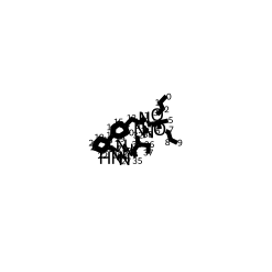 CCCOC(C)(OCCC)c1nc(Cc2ccc(-c3ccccc3-c3nnn[nH]3)cc2)n(CC(CC)CC)n1